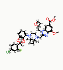 COC(=O)c1cc(OC)c2nc(CN3CCN(c4cccc5c4OC(C)(c4ccc(Cl)cc4F)O5)[C@@H]4CC[C@H]43)n(C[C@@H]3CCO3)c2c1